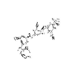 C[C@@]12COCCN1c1cc(OCc3ccc(Oc4cc(C#N)cc(C(F)(F)F)c4)c(F)c3)nc(=O)n1C2